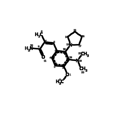 COc1ccc(C=C(C)C(N)=O)c(N2CCCC2)c1N(C)C